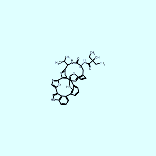 CCC(O)(CC)C(=O)N[C@H]1Cc2ccc3c(c2)C24c5cccc(c5NC2O3)-c2cccc3[nH]cc(c23)-c2cnc(o2)-c2nc(oc24)C(C(C)C)NC1=O